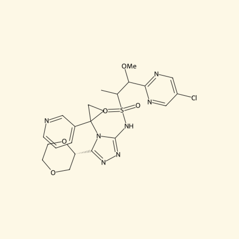 COC(c1ncc(Cl)cn1)C(C)S(=O)(=O)Nc1nnc([C@@H]2COCCO2)n1C1(c2cccnc2)CC1